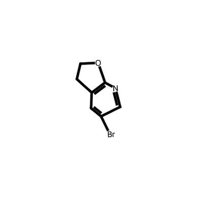 Brc1cnc2c(c1)CCO2